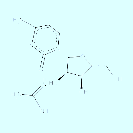 N=C(N)N.Nc1ccn([C@@H]2O[C@H](CO)[C@@H](O)[C@H]2O)c(=O)n1